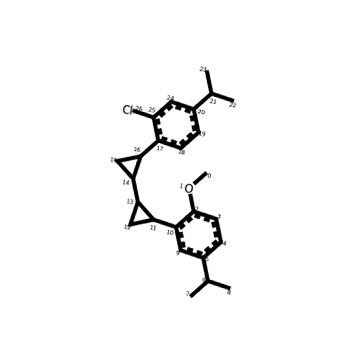 COc1ccc(C(C)C)cc1C1CC1C1CC1c1ccc(C(C)C)cc1Cl